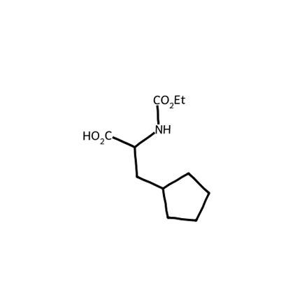 CCOC(=O)NC(CC1CCCC1)C(=O)O